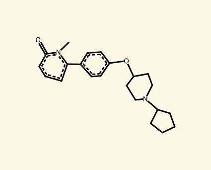 Cn1c(-c2ccc(OC3CCN(C4CCCC4)CC3)cc2)cccc1=O